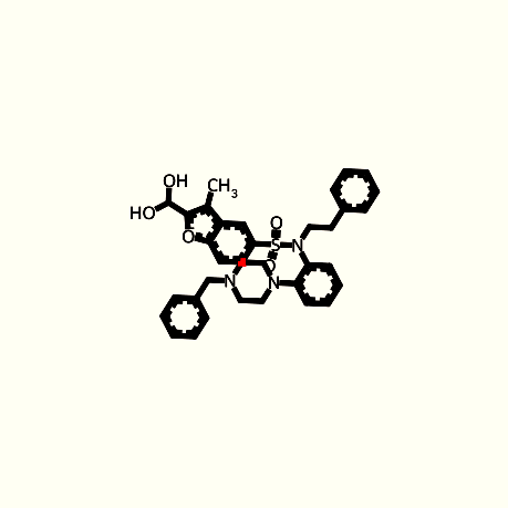 Cc1c(C(O)O)oc2ccc(S(=O)(=O)N(CCc3ccccc3)c3ccccc3N3CCN(Cc4ccccc4)CC3)cc12